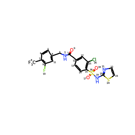 O=C(NCc1ccc(C(F)(F)F)c(F)c1)c1ccc(S(=O)(=O)Nc2nccs2)c(Cl)c1